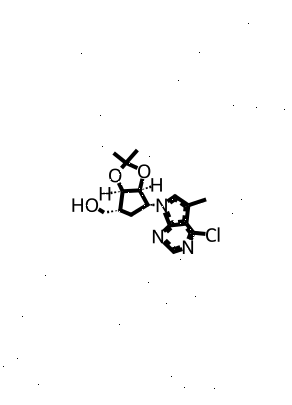 Cc1cn([C@@H]2C[C@H](CO)[C@H]3OC(C)(C)O[C@H]32)c2ncnc(Cl)c12